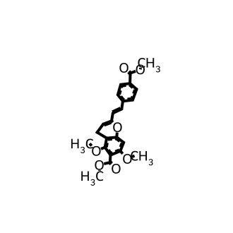 COC(=O)c1ccc(C=CC2=CCc3c(cc(OC)c(C(=O)OC)c3OC)O2)cc1